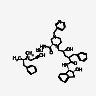 C#CCN(C)[C@H](C)Cc1ccccc1.CC(C)(C)NC(=O)[C@@H]1CN(Cc2cccnc2)CCN1C[C@@H](O)C[C@@H](Cc1ccccc1)C(=O)N[C@H]1c2ccccc2C[C@H]1O